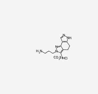 CCOC(=O)c1c2c(nn1CCCN)-c1cn[nH]c1CC2.Cl